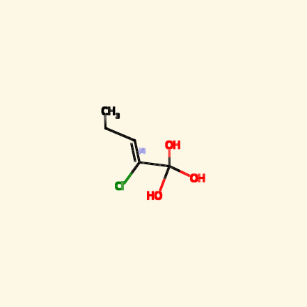 CC/C=C(\Cl)C(O)(O)O